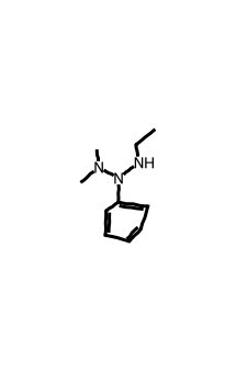 CCNN(c1ccccc1)N(C)C